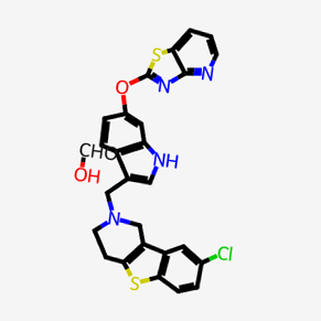 Clc1ccc2sc3c(c2c1)CN(Cc1c[nH]c2cc(Oc4nc5ncccc5s4)ccc12)CC3.O=CO